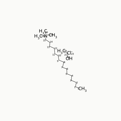 CCCCCCCCCCCCCCCC[N+](C)(C)C.CCO.[Cl-]